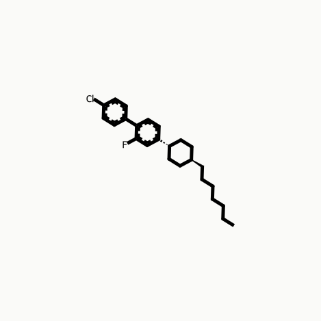 CCCCCCC[C@H]1CC[C@H](c2ccc(-c3ccc(Cl)cc3)c(F)c2)CC1